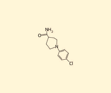 NC(=O)C1CCN(c2ccc(Cl)cc2)CC1